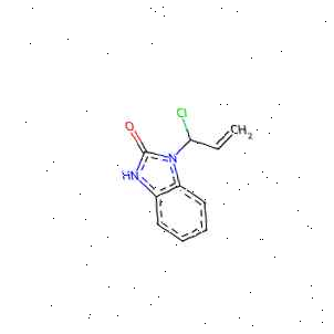 C=CC(Cl)n1c(=O)[nH]c2ccccc21